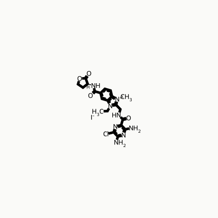 CCn1c(CNC(=O)c2nc(Cl)c(N)nc2N)[n+](C)c2ccc(C(=O)N[C@@H]3CCOC3=O)cc21.[I-]